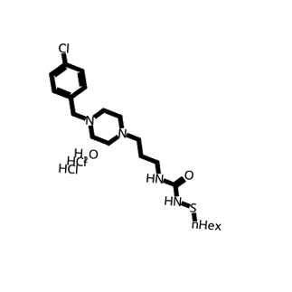 CCCCCCSNC(=O)NCCCN1CCN(Cc2ccc(Cl)cc2)CC1.Cl.Cl.O